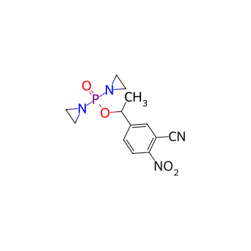 CC(OP(=O)(N1CC1)N1CC1)c1ccc([N+](=O)[O-])c(C#N)c1